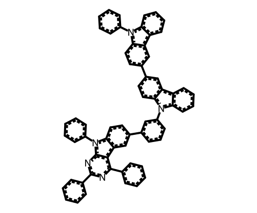 c1ccc(-c2nc(-c3ccccc3)c3c4cc(-c5cccc(-n6c7ccccc7c7cc(-c8ccc9c(c8)c8ccccc8n9-c8ccccc8)ccc76)c5)ccc4n(-c4ccccc4)c3n2)cc1